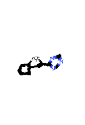 ClC(Cl)(Cl)C(=Cc1ccccc1C(Cl)(Cl)Cl)c1ncncn1